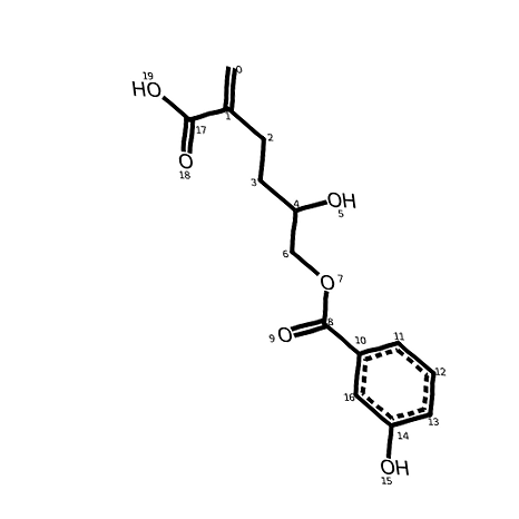 C=C(CCC(O)COC(=O)c1cccc(O)c1)C(=O)O